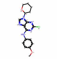 COc1ccc(Nc2nc(Cl)nc3c2ncn3C2CCCCO2)cc1